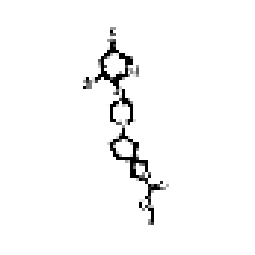 CCOC(=O)N1CC2(CCC(N3CCN(c4ncc(F)cc4Br)CC3)C2)C1